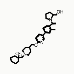 C=C(c1ccc(-c2ccc(OCC3CCN(CC4(C(F)(F)F)CCCCC4)CC3)nc2)cc1C)N1CCCC1CO